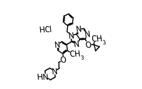 Cc1c(OCCN2CCNCC2)cncc1-c1nc2c(OC3(C)CC3)ncnc2n1Cc1ccccc1.Cl